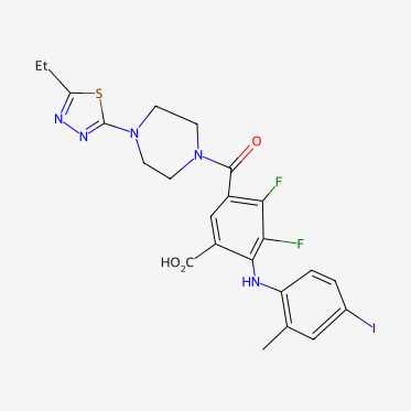 CCc1nnc(N2CCN(C(=O)c3cc(C(=O)O)c(Nc4ccc(I)cc4C)c(F)c3F)CC2)s1